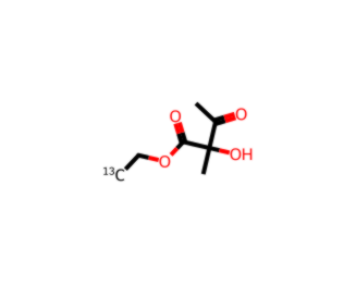 CC(=O)C(C)(O)C(=O)OC[13CH3]